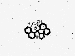 C[Si](C)(C)OC(c1cccc2ccccc12)(c1cccc2ccccc12)C1CCCN1